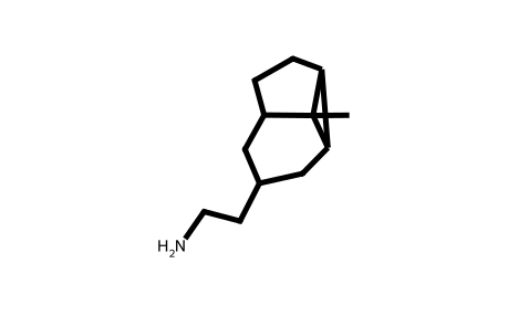 CC12C3CCC1C2CC(CCN)C3